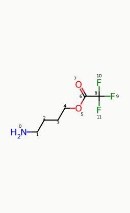 NCCCCOC(=O)C(F)(F)F